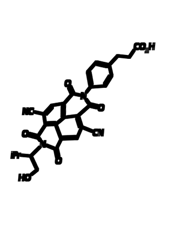 CC(C)C(CO)N1C(=O)c2cc(C#N)c3c4c(cc(C#N)c(c24)C1=O)C(=O)N(c1ccc(CCC(=O)O)cc1)C3=O